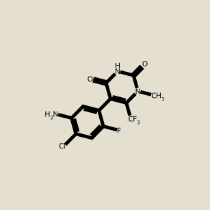 Cn1c(C(F)(F)F)c(-c2cc(N)c(Cl)cc2F)c(=O)[nH]c1=O